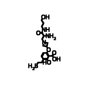 BCCc1ccc(OC2CN(CC(N)C(=O)NCCCO)C2)c(C(=O)O)c1O